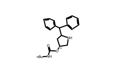 CCCCNC(=O)O[C@@H]1CNC(C(c2ccccc2)c2ccccc2)C1